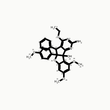 CCOc1nc(N)nc2c1C(c1ccccc1)C1(c3ccc(OC)cc3)Oc3cc(OC)cc(OC)c3C21O